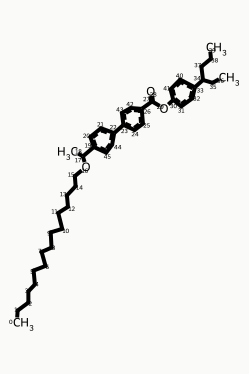 CCCCCCCCCCCCCCCCOC(C)c1ccc(-c2ccc(C(=O)Oc3ccc(C(CC)CCC)cc3)cc2)cc1